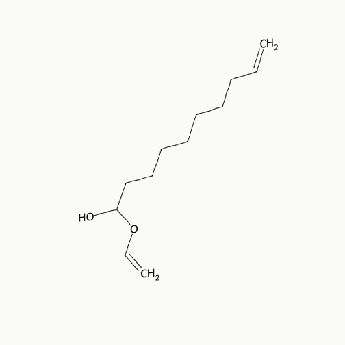 C=CCCCCCCCC(O)OC=C